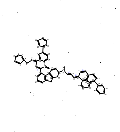 C=N/C(=N\C(=N/Cc1ccccc1)c1cccc(-c2ccccc2)c1)c1cccc2c1C1=C(C2)CC(N/C=C/C=C(\C=C/c2ccc(-c3ccccc3)cc2)c2ccccc2)C=C1